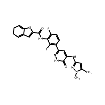 Cc1cc(Nc2cc(-c3ccc(F)c(NC(=O)c4cc5c(s4)=CCCC=5)c3F)n[nH]c2=O)nn1C